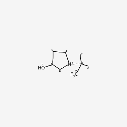 CC(C)(N1CCC(O)C1)C(F)(F)F